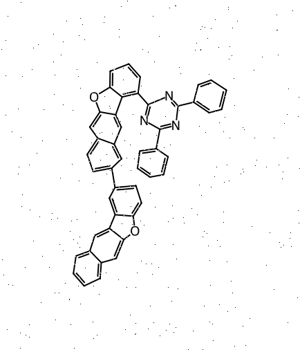 c1ccc(-c2nc(-c3ccccc3)nc(-c3cccc4oc5cc6ccc(-c7ccc8oc9cc%10ccccc%10cc9c8c7)cc6cc5c34)n2)cc1